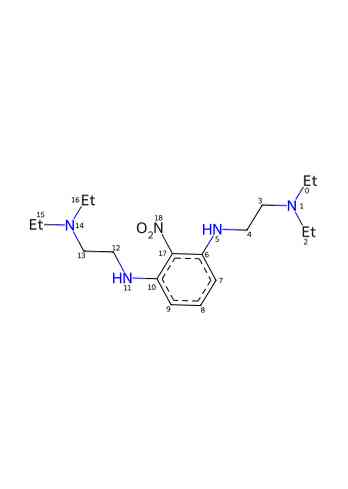 CCN(CC)CCNc1cccc(NCCN(CC)CC)c1[N+](=O)[O-]